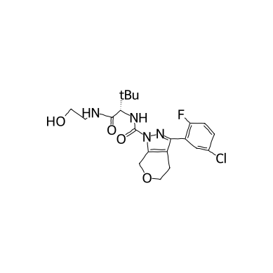 CC(C)(C)[C@H](NC(=O)n1nc(-c2cc(Cl)ccc2F)c2c1COCC2)C(=O)NCCO